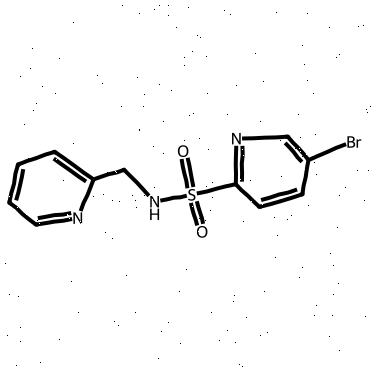 O=S(=O)(NCc1ccccn1)c1ccc(Br)cn1